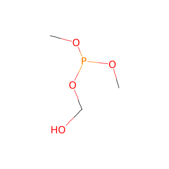 COP(OC)OCO